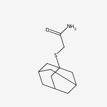 NC(=O)CSC12CC3CC(CC(C3)C1)C2